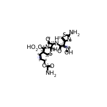 NC(=O)OC/C=C\C1=C(C(=O)O)N2C(=O)C(NC(=O)/C(=N\O)c3csc(N)n3)[C@H]2SC1